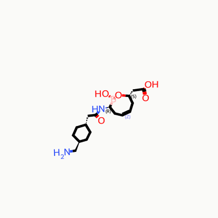 NC[C@H]1CC[C@H](CC(=O)N[C@H]2C/C=C\C[C@@H](CC(=O)O)OB2O)CC1